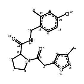 Cc1cc(CC(=O)N2CCCC2C(=O)NCc2ccc(Cl)cc2C)on1